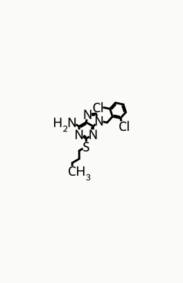 CCCCSc1nc(N)c2ncn(Cc3c(Cl)cccc3Cl)c2n1